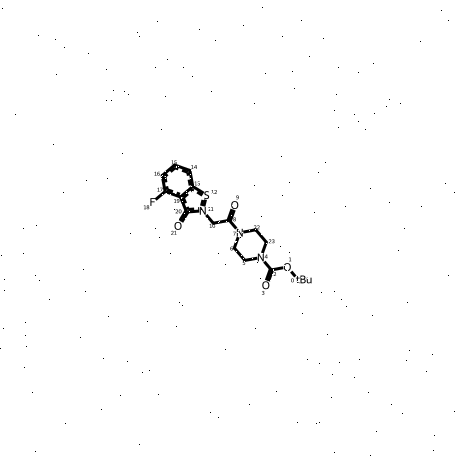 CC(C)(C)OC(=O)N1CCN(C(=O)Cn2sc3cccc(F)c3c2=O)CC1